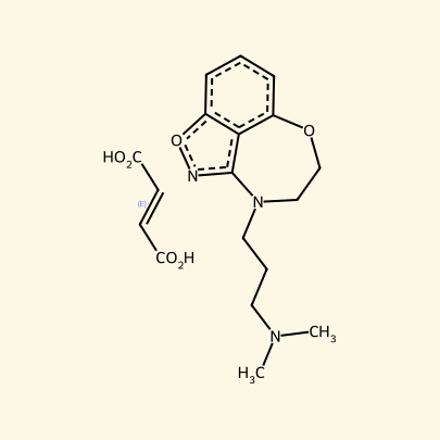 CN(C)CCCN1CCOc2cccc3onc1c23.O=C(O)/C=C/C(=O)O